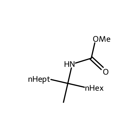 CCCCCCCC(C)(CCCCCC)NC(=O)OC